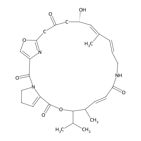 CC1=C\[C@@H](O)CC(=O)Cc2nc(co2)C(=O)N2CCC=C2C(=O)OC(C(C)C)C(C)/C=C/C(=O)NC\C=C\1